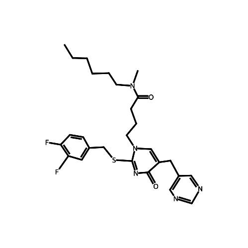 CCCCCCN(C)C(=O)CCCn1cc(Cc2cncnc2)c(=O)nc1SCc1ccc(F)c(F)c1